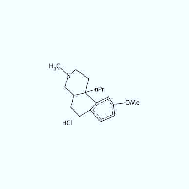 CCCC12CCN(C)CC1CCc1ccc(OC)cc12.Cl